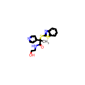 CC(Sc1nc2ccccc2s1)(C(=O)NCCO)c1ccncc1